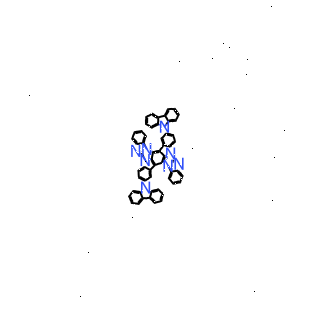 c1ccc2c(c1)nc1n2c2c3c4cc(-n5c6ccccc6c6ccccc65)ccc4n4c3c(c3c5cc(-n6c7ccccc7c7ccccc76)ccc5n1c32)n1c2ccccc2nc14